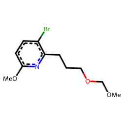 COCOCCCc1nc(OC)ccc1Br